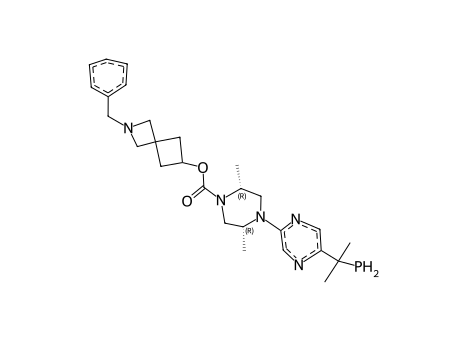 C[C@@H]1CN(c2cnc(C(C)(C)P)cn2)[C@H](C)CN1C(=O)OC1CC2(C1)CN(Cc1ccccc1)C2